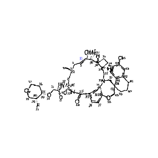 CO[C@H]1/C=C/C[C@H](C)C[S@@](=O)(NC(=O)CO[C@H]2CCOC[C@H]2F)=NC(=O)c2ccc3c(c2)N(C[C@@H]2CC[C@H]21)C[C@@]1(CCCc2cc(Cl)ccc21)CO3